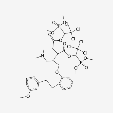 COc1cccc(CCc2ccccc2OCC(CN(C)C)C(CC(=O)OC(C(Cl)(Cl)Cl)P(=O)(OC)OC)C(=O)OC(C(Cl)(Cl)Cl)P(=O)(OC)OC)c1